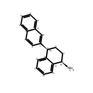 N[C@@H]1CC[C@H](c2ccc3ccccc3c2)c2ccccc21